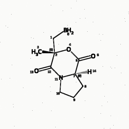 BC[C@]1(C)OC(=O)[C@H]2CCCN2C1=O